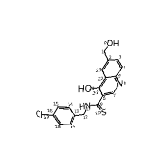 OCc1ccc2ncc(C(=S)NCc3ccc(Cl)cc3)c(O)c2c1